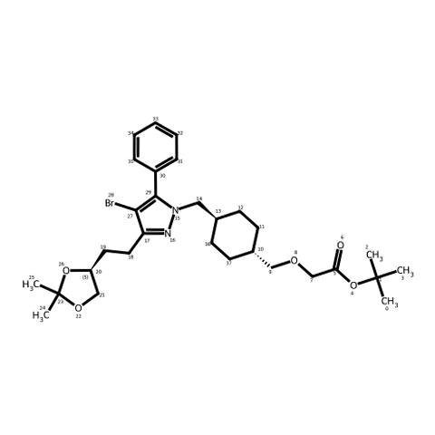 CC(C)(C)OC(=O)COC[C@H]1CC[C@H](Cn2nc(CC[C@H]3COC(C)(C)O3)c(Br)c2-c2ccccc2)CC1